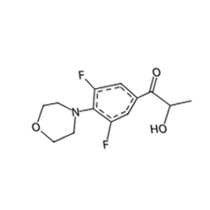 CC(O)C(=O)c1cc(F)c(N2CCOCC2)c(F)c1